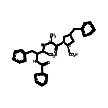 C[C@H](NC(C(=O)O)C(Cc1ccccc1)NC(=O)c1ccccc1)C(=O)N1CC(Cc2ccccc2)C[C@H]1C(=O)O